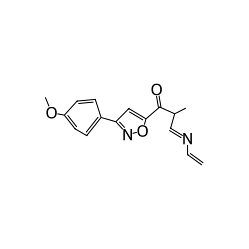 C=CN=CC(C)C(=O)c1cc(-c2ccc(OC)cc2)no1